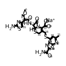 CO/N=C(\C(=O)N[C@@H]1C(=O)N2C(C(=O)[O-])=C(CSc3cc(C)nc4nc(C(N)=O)nn34)CS[C@H]12)c1csc(N)n1.[Na+]